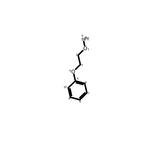 [CH2]CCOCCOc1ccccc1